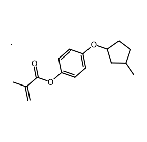 C=C(C)C(=O)Oc1ccc(OC2CCC(C)C2)cc1